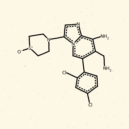 NCc1c(-c2ccc(Cl)cc2Cl)cn2c(N3CC[S+]([O-])CC3)cnc2c1N